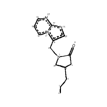 CCCC1CC(=O)N(Cc2cnc3ncccn23)C1